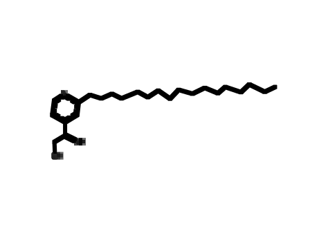 CCCCCCCCCCCCCCCCCc1cc(C(=N)CO)ccn1